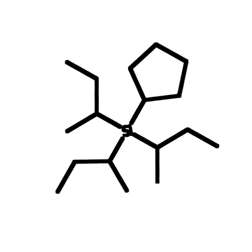 CCC(C)[Si](C(C)CC)(C(C)CC)C1CCCC1